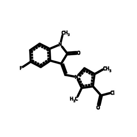 Cc1cn(C=C2C(=O)N(C)c3ccc(F)cc32)c(C)c1C(=O)Cl